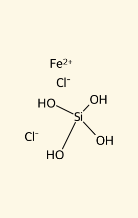 O[Si](O)(O)O.[Cl-].[Cl-].[Fe+2]